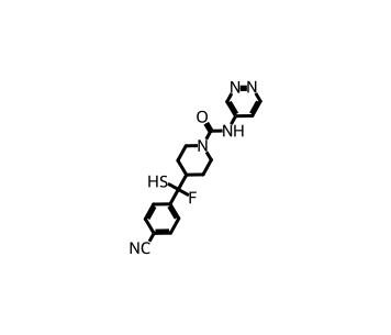 N#Cc1ccc(C(F)(S)C2CCN(C(=O)Nc3ccnnc3)CC2)cc1